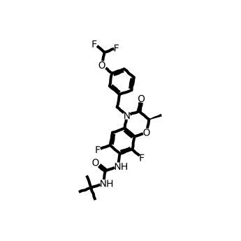 C[C@H]1Oc2c(cc(F)c(NC(=O)NC(C)(C)C)c2F)N(Cc2cccc(OC(F)F)c2)C1=O